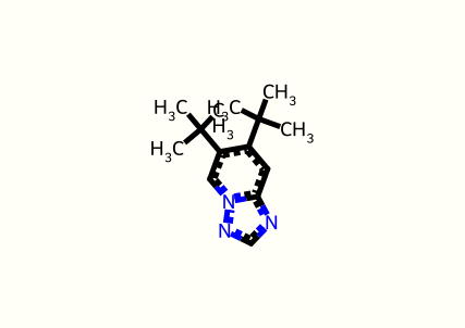 CC(C)(C)c1cc2ncnn2cc1C(C)(C)C